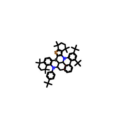 CC1CC2C3B(c4ccc5c(c4N2c2ccc(C(C)(C)C)cc2)C(C)(C)CCC5(C)C)c2sc4c(c2N(c2cc(C(C)(C)C)cc(C(C)(C)C)c2-c2ccccc2)C3C1)C(C)(C)CCC4(C)C